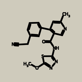 COc1nnc(NC(=O)c2cnc(C)cc2-c2cccc(CC#N)c2)s1